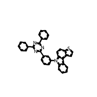 c1ccc(-c2nc(-c3ccccc3)nc(-c3cccc(-n4c5ccccc5c5c6ccsc6ccc54)c3)n2)cc1